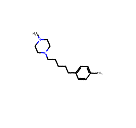 Cc1ccc(CCCCCN2CCN(C)CC2)cc1